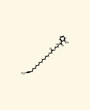 CC#CCCCCCCCCCCCSCC(=O)OCCNC(=O)c1ccccc1O